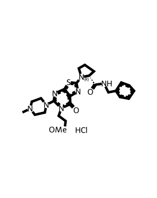 COCCn1c(N2CCN(C)CC2)nc2sc(N3CCC[C@@H]3C(=O)NCc3ccccc3)nc2c1=O.Cl